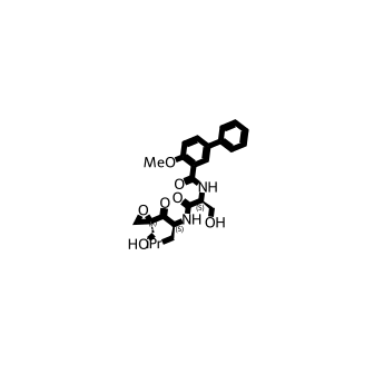 COc1ccc(-c2ccccc2)cc1C(=O)N[C@@H](CO)C(=O)N[C@@H](CC(C)C)C(=O)[C@@]1(CO)CO1